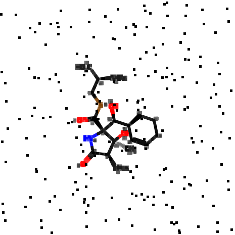 CCCCCC[C@H]1C(=O)N[C@](C(=O)SC[C@H](NC(C)=O)C(=O)O)([C@@H](O)[C@@H]2C=CCCC2)[C@@]1(C)O